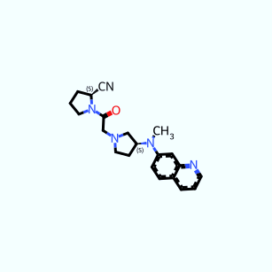 CN(c1ccc2cccnc2c1)[C@H]1CCN(CC(=O)N2CCC[C@H]2C#N)C1